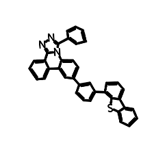 c1ccc(-c2nnc3c4ccccc4c4cc(-c5cccc(-c6cccc7c6sc6ccccc67)c5)ccc4n23)cc1